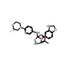 CC1=C2NOC(Nc3ccc(N4CCO[C@@H](C)C4)nc3)(N=C1)N2c1ccc2c(c1)NCO2